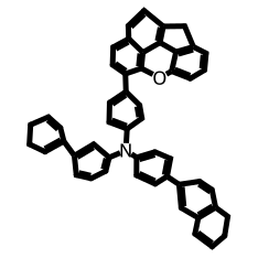 C1=CC(c2cccc(N(c3ccc(-c4ccc5c(c4)C=CCC5)cc3)c3ccc(-c4ccc5ccc6c7c5c4Oc4cccc(c4-7)C6)cc3)c2)=CCC1